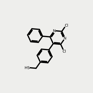 SCc1ccc(-c2c(Cl)nc(Cl)nc2-c2ccccc2)cc1